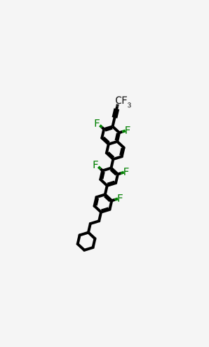 Fc1cc(CCC2CCCCC2)ccc1-c1cc(F)c(-c2ccc3c(F)c(C#CC(F)(F)F)c(F)cc3c2)c(F)c1